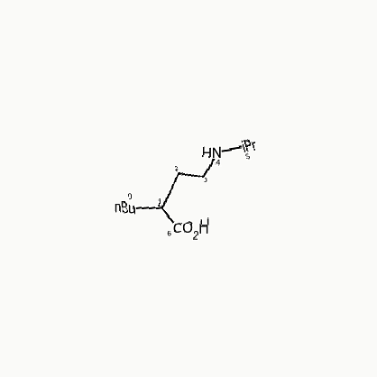 CCCCC(CCNC(C)C)C(=O)O